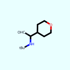 CC(C)(C)NC(C=O)C1CCOCC1